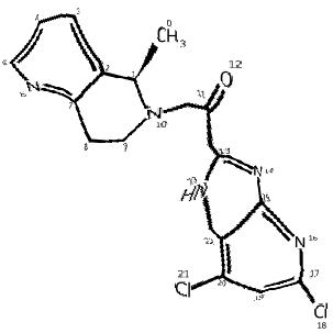 C[C@@H]1c2cccnc2CCN1C(=O)c1nc2nc(Cl)cc(Cl)c2[nH]1